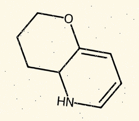 C1=CNC2CCCOC2=C1